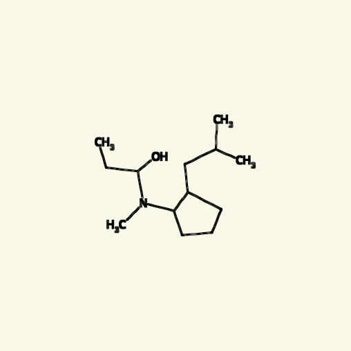 CCC(O)N(C)C1CCCC1CC(C)C